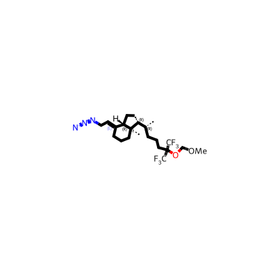 COCOC(CCC[C@@H](C)[C@H]1CC[C@H]2/C(=C/CN=[N+]=[N-])CCC[C@]12C)(C(F)(F)F)C(F)(F)F